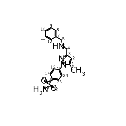 Cc1cc(CNCc2ccccc2)nn1-c1ccc(S(N)(=O)=O)cc1